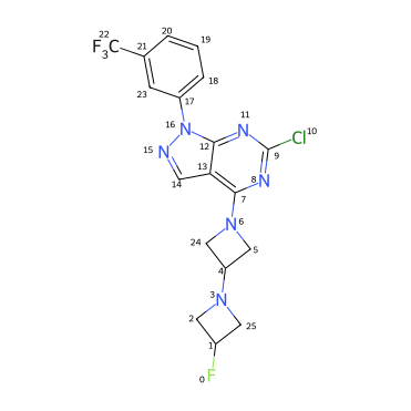 FC1CN(C2CN(c3nc(Cl)nc4c3cnn4-c3cccc(C(F)(F)F)c3)C2)C1